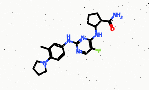 Cc1cc(Nc2ncc(F)c(NC3CCCC3C(N)=O)n2)ccc1N1CCCC1